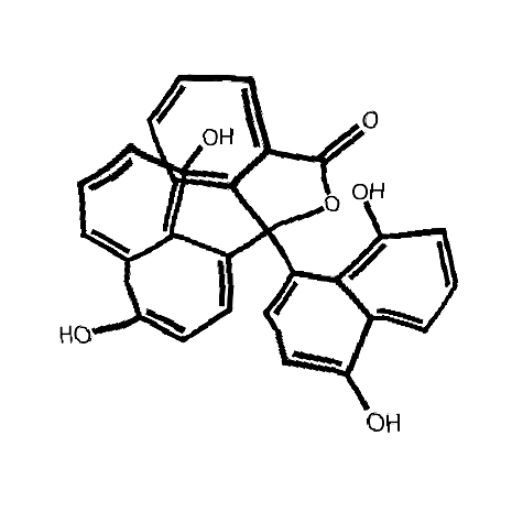 O=C1OC(c2ccc(O)c3cccc(O)c23)(c2ccc(O)c3cccc(O)c23)c2ccccc21